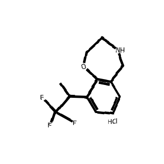 CC(c1cccc2c1OCCNC2)C(F)(F)F.Cl